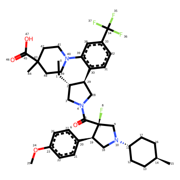 CC[C@H]1CN(C(=O)[C@]2(F)CN([C@H]3CC[C@H](C)CC3)C[C@H]2c2ccc(OC)cc2)C[C@@H]1c1ccc(C(F)(F)F)cc1N1CCC(C)(C(=O)O)CC1